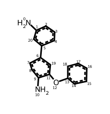 Nc1cccc(-c2ccc(N)c(Oc3ccccc3)c2)c1